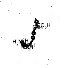 N=C(NCCCCc1ccc(-c2ccc(CCC(=O)N[C@H](Cc3ccncc3)C(=O)O)cc2)cc1)NC(=O)c1nc(Cl)c(N)nc1N